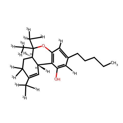 [2H]c1c(O)c2c(c([2H])c1CCCCC)OC(C([2H])([2H])[2H])(C([2H])([2H])[2H])[C@@H]1CC([2H])([2H])C(C([2H])([2H])[2H])=C[C@@]21[2H]